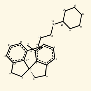 Cc1cccc2c1[C@@]1(CC2)CCc2cccc(NCCSC3CCCCC3)c21